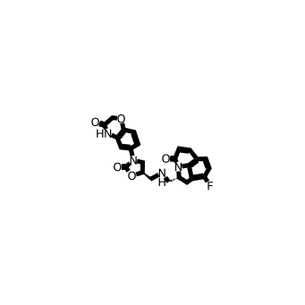 O=C1COc2ccc(N3C[C@@H](CNC[C@H]4Cc5c(F)ccc6ccc(=O)n4c56)OC3=O)cc2N1